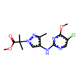 COC(=O)C(C)(C)n1cc(Nc2ncc(Cl)c(OC)n2)c(C)n1